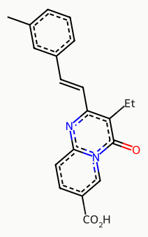 CCc1c(C=Cc2cccc(C)c2)nc2ccc(C(=O)O)cn2c1=O